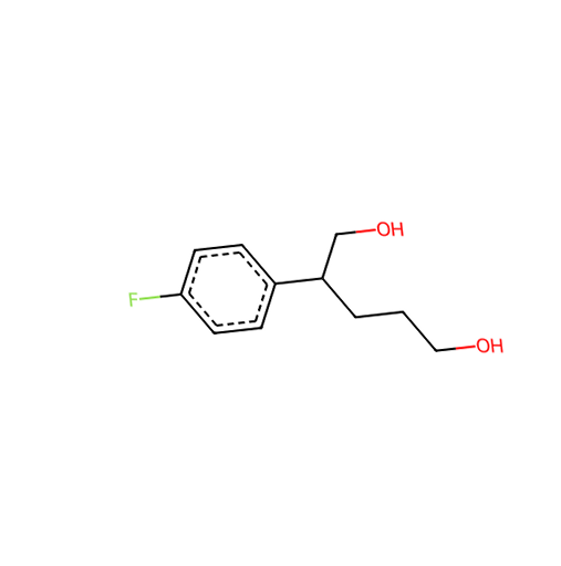 OCCCC(CO)c1ccc(F)cc1